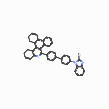 CCc1nc2ccccc2n1-c1ccc(-c2ccc(-c3nc4c(c5c6c(c7ccccc7c35)C=CCC6)CCC=C4)cc2)cc1